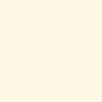 [CH2]CCCc1cc(CCCCCCCCCCCCCC)cc(CCCCCCCCCCCCCC)c1